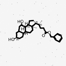 C[C@H](CCC(=O)OCc1ccccc1)[C@H]1CC[C@H]2[C@@H]3[C@H](O)CC4C[C@H](O)CC[C@]4(C)[C@H]3CC[C@]12C